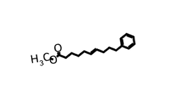 COC(=O)CCCC/C=C/CCCc1ccccc1